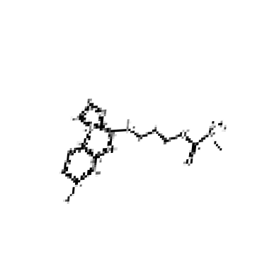 C[C@@H](N)C(=O)OCCCNc1nc2cc(F)ccc2n2ccnc12